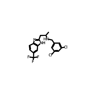 CC(Cc1nc2ccc(C(F)(F)F)cc2[nH]1)NCc1cc(Cl)cc(Cl)c1